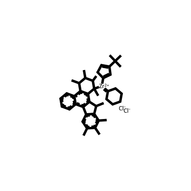 Cc1cc2c(c(C)c1C)C(C)c1c3c(c4ccccc4c1-2)C(C)C(C)C(C)[C]3(C)[Zr+2]([C]1=CC(C(C)(C)C)=CC1)=[C]1CCCCC1.[Cl-].[Cl-]